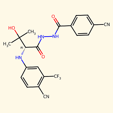 CC(C)(O)[C@@H](Nc1ccc(C#N)c(C(F)(F)F)c1)C(=O)NNC(=O)c1ccc(C#N)cc1